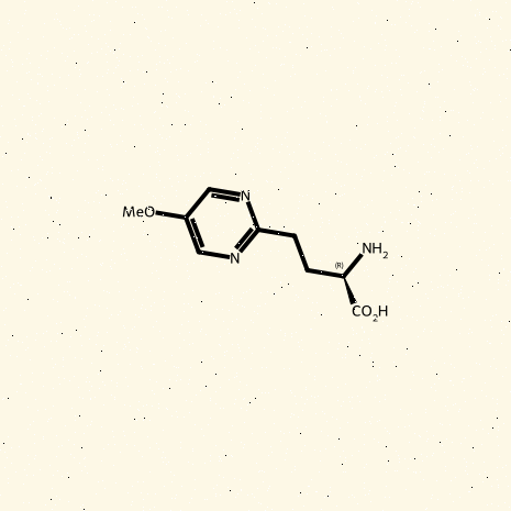 COc1cnc(CC[C@@H](N)C(=O)O)nc1